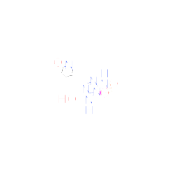 COc1ncc([C@@H](C)Cc2nc(N[C@@H](CO)CC(C)C)nc(NS(C)(=O)=O)n2)cc1C